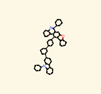 c1ccc(-c2nc3ccccc3c3c(-c4ccc(-c5cccc(-c6ccc7c8ccccc8n(-c8ccccc8)c7c6)c5)cc4)c4c(cc23)oc2ccccc24)cc1